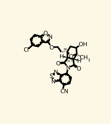 C[C@]12O[C@](CCOc3noc4ccc(Cl)cc34)(CC1O)[C@H]1C(=O)N(c3ccc(C#N)c4nsnc34)C(=O)[C@H]12